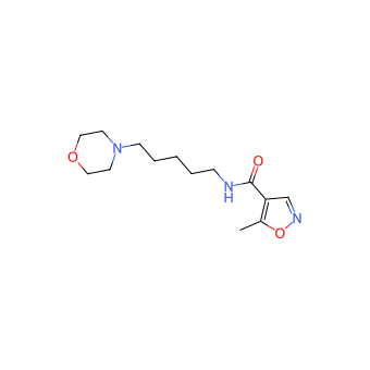 Cc1oncc1C(=O)NCCCCCN1CCOCC1